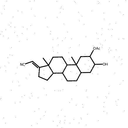 CC(=O)OC1CC2(C)C(CCC3C4CCC(=CC#N)C4(C)CCC32)CC1O